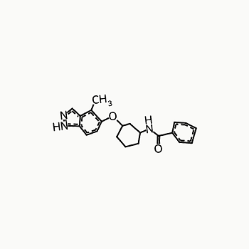 Cc1c(OC2CCCC(NC(=O)c3ccccc3)C2)ccc2[nH]ncc12